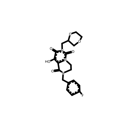 O=C1c2c(O)c(=O)n(CC3COCCO3)c(=O)n2CCN1Cc1ccc(F)cc1